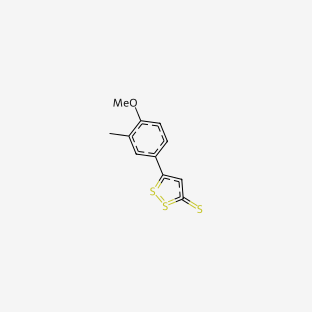 COc1ccc(-c2cc(=S)ss2)cc1C